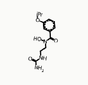 CC(C)Oc1cccc(C(=O)N(O)CCNC(N)=O)c1